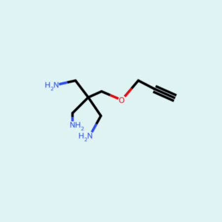 C#CCOCC(CN)(CN)CN